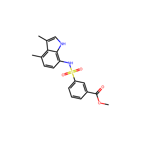 COC(=O)c1cccc(S(=O)(=O)Nc2ccc(C)c3c(C)c[nH]c23)c1